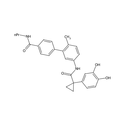 CCCNC(=O)c1ccc(-c2cc(NC(=O)C3(c4ccc(O)c(O)c4)CC3)ccc2C)cc1